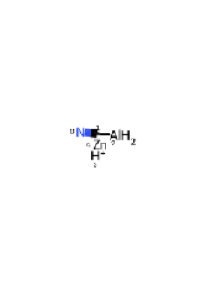 N#[C][AlH2].[H+].[Zn]